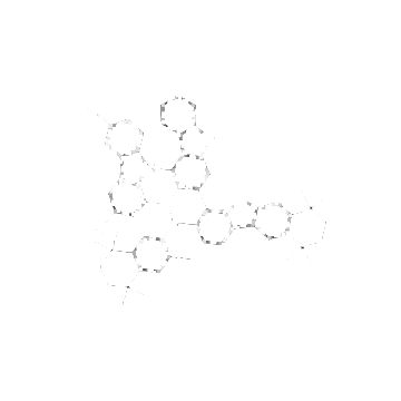 CCCCc1ccc2c(c1)c1cc(CCCC)cc3c1n2-c1c2c(cc4oc5ccccc5c14)-c1c(ccc4c1oc1cc5c(cc14)C(C)(C)CCC5(C)C)N(c1cc4c(cc1C)C(C)(C)CCC4(C)C)B23